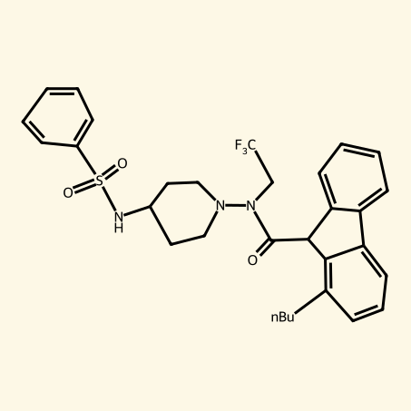 CCCCc1cccc2c1C(C(=O)N(CC(F)(F)F)N1CCC(NS(=O)(=O)c3ccccc3)CC1)c1ccccc1-2